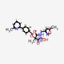 Cc1cccc(-c2ccc(COC(C)(C(=O)NO)C(=O)NCc3cc(C)on3)cc2)n1